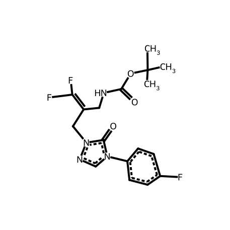 CC(C)(C)OC(=O)NCC(Cn1ncn(-c2ccc(F)cc2)c1=O)=C(F)F